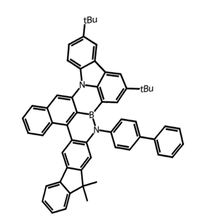 CC(C)(C)c1ccc2c(c1)c1cc(C(C)(C)C)cc3c1n2-c1cc2ccccc2c2c1B3N(c1ccc(-c3ccccc3)cc1)c1cc3c(cc1-2)-c1ccccc1C3(C)C